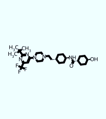 CC(C)(C)c1nc(N2CCN(CC[C@H]3CC[C@H](NC(=O)[C@H]4CC[C@H](O)CC4)CC3)CC2)cc(C(F)(F)F)n1